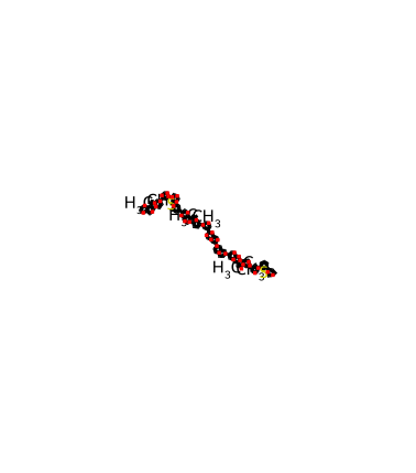 CC1(C)c2cc(-c3cccc(-c4cccc5c4sc4ccccc45)c3)ccc2-c2cc3ccc(-c4ccc5ccc(-c6ccc7cc(-c8cccc(-c9ccc%10c(c9)C(C)(C)c9c-%10ccc%10cc(-c%11ccc%12sc%13c(-c%14cccc(-c%15ccc%16c(c%15)C(C)(C)c%15c-%16ccc%16ccccc%15%16)c%14)cccc%13c%12c%11)ccc9%10)c8)ccc7c6)cc5c4)cc3cc21